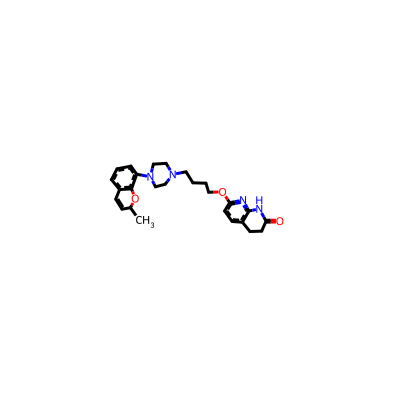 CC1C=Cc2cccc(N3CCN(CCCCOc4ccc5c(n4)NC(=O)CC5)CC3)c2O1